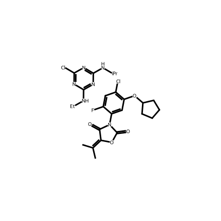 CC(C)=C1OC(=O)N(c2cc(OC3CCCC3)c(Cl)cc2F)C1=O.CCNc1nc(Cl)nc(NC(C)C)n1